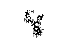 CC(C)(O)Cc1nnc(-c2nc(C(=O)N3CC[C@H](F)C3)c(-c3ccc(C(C)(C(F)(F)F)C(F)(F)F)c(Cl)c3Cl)s2)o1